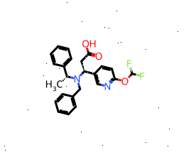 C[C@H](c1ccccc1)N(Cc1ccccc1)[C@@H](CC(=O)O)c1ccc(OC(F)F)nc1